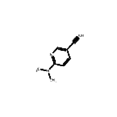 C#Cc1ccc(N(C)C)nc1